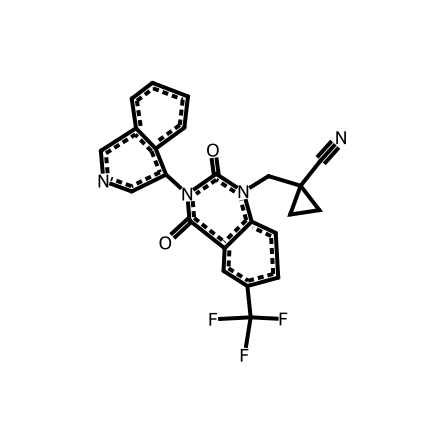 N#CC1(Cn2c(=O)n(-c3cncc4ccccc34)c(=O)c3cc(C(F)(F)F)ccc32)CC1